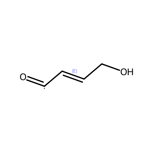 O=[C]/C=C/CO